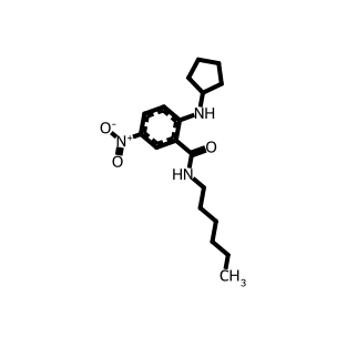 CCCCCCNC(=O)c1cc([N+](=O)[O-])ccc1NC1CCCC1